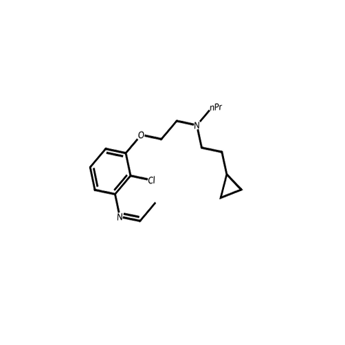 C/C=N\c1cccc(OCCN(CCC)CCC2CC2)c1Cl